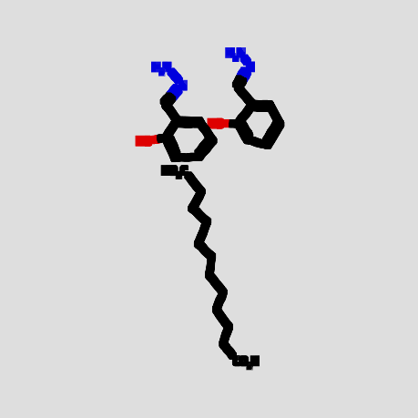 NN=Cc1ccccc1O.NN=Cc1ccccc1O.O=C(O)CCCCCCCCCCC(=O)O